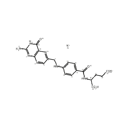 Nc1nc2ncc(CNc3ccc(C(=O)NC(CCC(=O)[O-])C(=O)O)cc3)nc2c(=O)[nH]1.[K+]